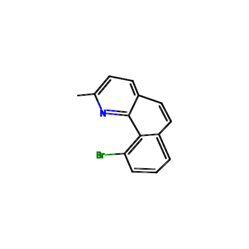 Cc1ccc2ccc3cccc(Br)c3c2n1